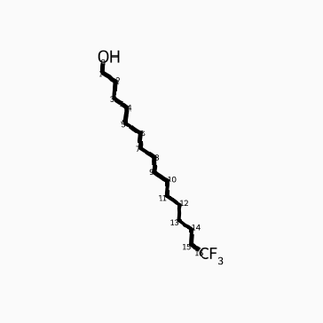 OCCCCCCCCCCCCCCCC(F)(F)F